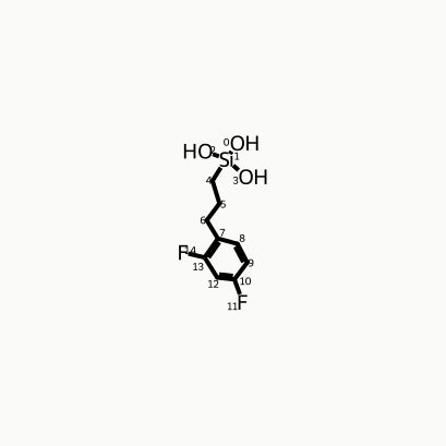 O[Si](O)(O)CCCc1ccc(F)cc1F